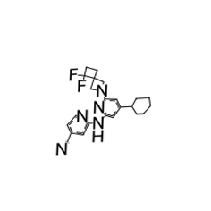 N#Cc1ccnc(Nc2cc(C3CCCCC3)cc(N3CC4(CCC4(F)F)C3)n2)c1